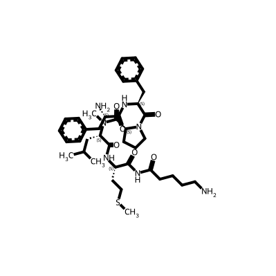 CSCC[C@H](NC(=O)[C@H](CC(C)C)N(C)C(=O)[C@@H]1CCCN1C(=O)[C@H](Cc1ccccc1)NC(=O)[C@@H](N)Cc1ccccc1)C(=O)NC(=O)CCCCN